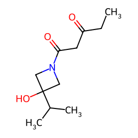 CCC(=O)CC(=O)N1CC(O)(C(C)C)C1